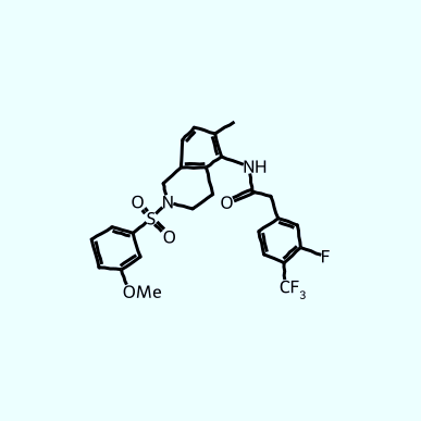 COc1cccc(S(=O)(=O)N2CCc3c(ccc(C)c3NC(=O)Cc3ccc(C(F)(F)F)c(F)c3)C2)c1